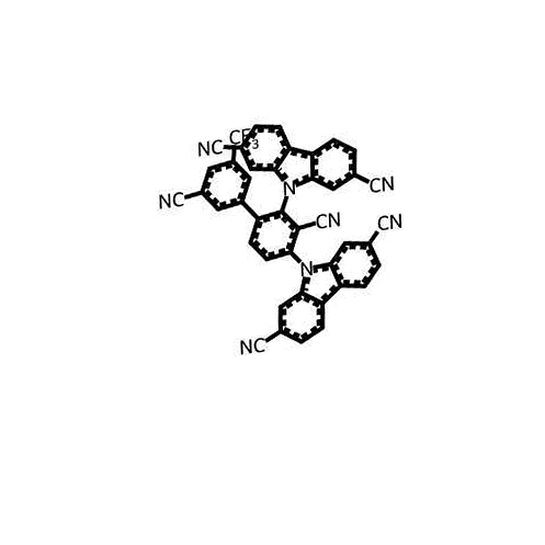 N#Cc1cc(-c2ccc(-n3c4cc(C#N)ccc4c4ccc(C#N)cc43)c(C#N)c2-n2c3cc(C#N)ccc3c3ccc(C#N)cc32)cc(C(F)(F)F)c1